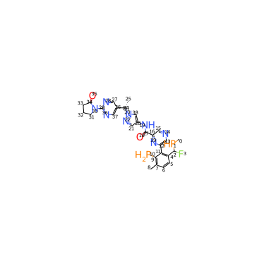 CPC(F)c1ccc(C)c(P)c1-c1cncc(C(=O)Nc2cnn([C@@H](C)c3cnc(N4CCCC4=O)nc3)c2)n1